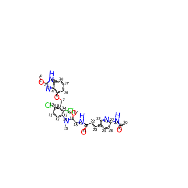 COc1nc2c(OCc3c(Cl)ccc(N(C)C(=O)CNC(=O)/C=C/c4ccc(NC(C)=O)nc4)c3Cl)cccc2[nH]1